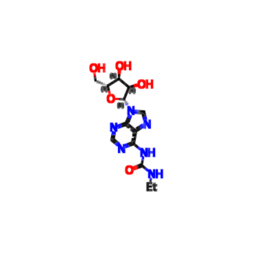 CCNC(=O)Nc1ncnc2c1ncn2[C@@H]1O[C@H](CO)[C@@H](O)[C@H]1O